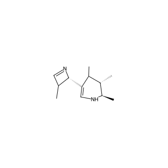 CC1C=N[C@@H]1C1=CN[C@H](C)[C@@H](C)C1C